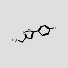 CCc1cc(-c2ccc(Cl)cc2)on1